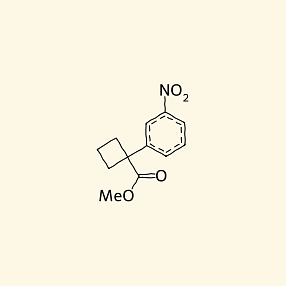 COC(=O)C1(c2cccc([N+](=O)[O-])c2)CCC1